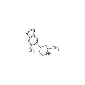 Cc1cc2ncnn2cc1C1CCNC(C)C1